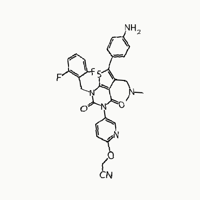 CN(C)Cc1c(-c2ccc(N)cc2)sc2c1c(=O)n(-c1ccc(OCC#N)nc1)c(=O)n2Cc1c(F)cccc1F